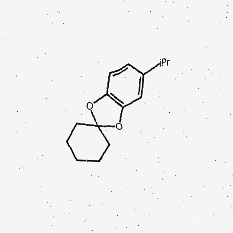 CC(C)c1ccc2c(c1)OC1(CCCCC1)O2